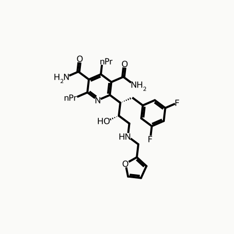 CCCc1nc([C@H](Cc2cc(F)cc(F)c2)[C@@H](O)CNCc2ccco2)c(C(N)=O)c(CCC)c1C(N)=O